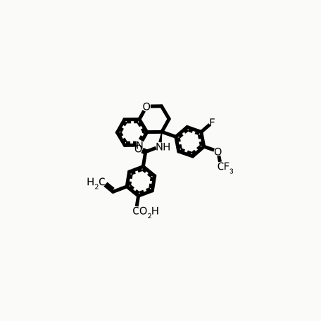 C=Cc1cc(C(=O)N[C@]2(c3ccc(OC(F)(F)F)c(F)c3)CCOc3cccnc32)ccc1C(=O)O